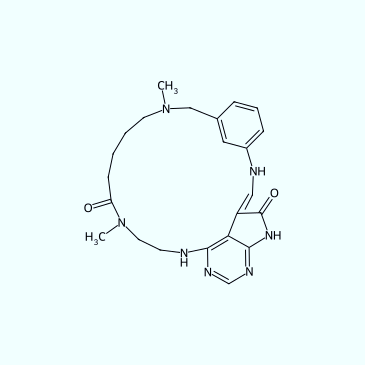 CN1CCCCC(=O)N(C)CCNc2ncnc3c2/C(=C/Nc2cccc(c2)C1)C(=O)N3